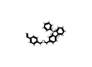 C=Cc1ccc(COCc2ccc3c4ccccc4n(-c4ccccc4)c3c2)cc1